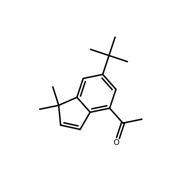 CC(=O)c1cc(C(C)(C)C)cc2c1C=CC2(C)C